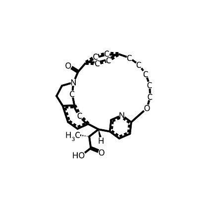 C[C@@H](C(=O)O)[C@H]1c2ccc(nc2)OCCCCCc2ccc(cc2)C(=O)N2CCc3ccc1cc3C2